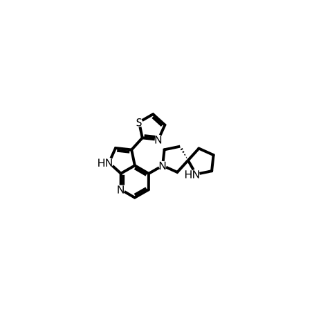 c1csc(-c2c[nH]c3nccc(N4CC[C@@]5(CCCN5)C4)c23)n1